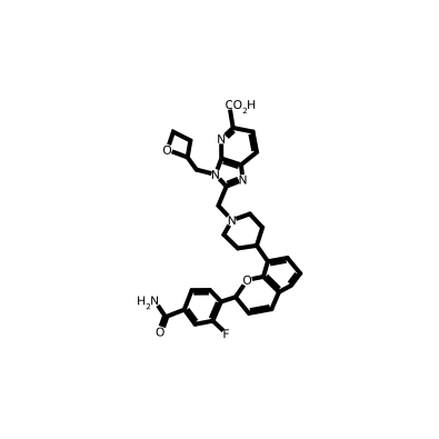 NC(=O)c1ccc(C2C=Cc3cccc(C4CCN(Cc5nc6ccc(C(=O)O)nc6n5CC5CCO5)CC4)c3O2)c(F)c1